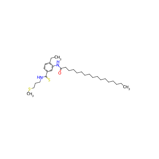 CCCCCCCCCCCCCCCCC(=O)Nc1cc(C(=S)NCCCSC)ccc1CC